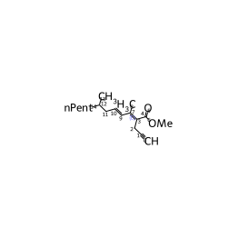 C#CC/C(C(=O)OC)=C(/C)C=CCC(C)CCCCC